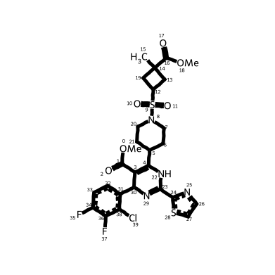 COC(=O)C1=C(C2CCN(S(=O)(=O)C3CC(C)(C(=O)OC)C3)CC2)NC(c2nccs2)=NC1c1ccc(F)c(F)c1Cl